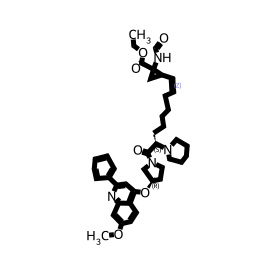 CCOC(=O)C1(NC=O)CC1/C=C\CCCCC[C@@H](C(=O)N1CC[C@@H](Oc2cc(-c3ccccc3)nc3cc(OC)ccc23)C1)N1CCCCC1